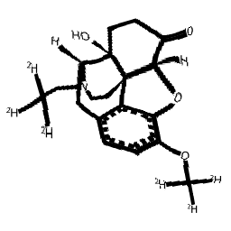 [2H]C([2H])([2H])Oc1ccc2c3c1O[C@H]1C(=O)CC[C@@]4(O)[C@@H](C2)N(C([2H])([2H])[2H])CC[C@]314